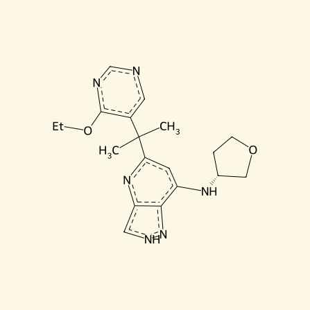 CCOc1ncncc1C(C)(C)c1cc(N[C@@H]2CCOC2)c2n[nH]cc2n1